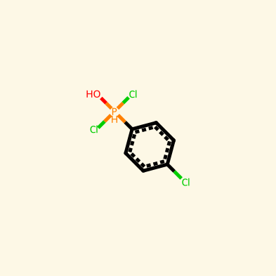 O[PH](Cl)(Cl)c1ccc(Cl)cc1